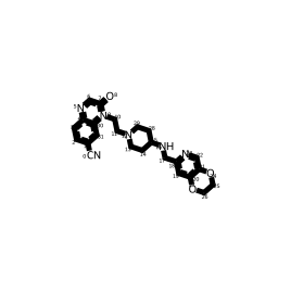 N#Cc1ccc2ncc(=O)n(CCN3CCC(NCc4cc5c(cn4)OCCO5)CC3)c2c1